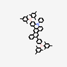 Cc1cc(C)c(B(c2ccc(-c3cc4c5cccc6c5c(cc4c4ccccc34)-c3ccc(B(c4c(C)cc(C)cc4C)c4c(C)cc(C)cc4C)cc3N6c3ccccc3)cc2)c2c(C)cc(C)cc2C)c(C)c1